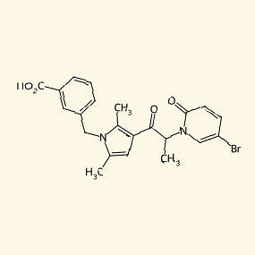 Cc1cc(C(=O)C(C)n2cc(Br)ccc2=O)c(C)n1Cc1cccc(C(=O)O)c1